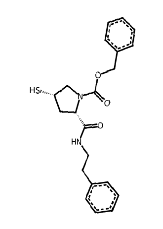 O=C(NCCc1ccccc1)[C@@H]1C[C@H](S)CN1C(=O)OCc1ccccc1